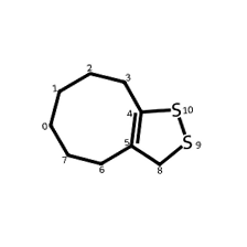 C1CCCC2=C(CC1)CSS2